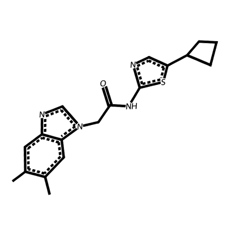 Cc1cc2ncn(CC(=O)Nc3ncc(C4CCC4)s3)c2cc1C